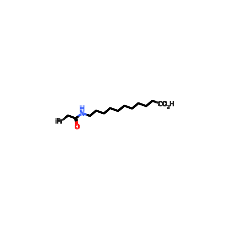 CC(C)CC(=O)NCCCCCCCCCCC(=O)O